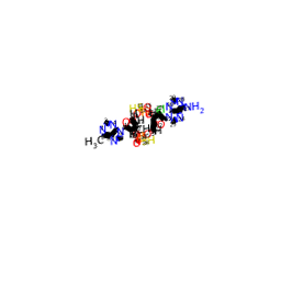 Cc1ncnc2c1ncn2[C@@H]1O[C@@H]2OP(=O)(S)O[C@H]3[C@@H](Cl)[C@H](n4cnc5c(N)ncnc54)O[C@@H]3COP(=O)(S)O[C@@H]1[C@@H]2C